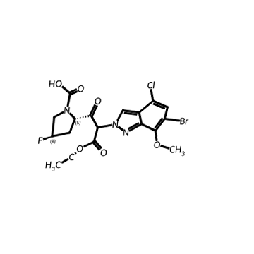 CCOC(=O)C(C(=O)[C@@H]1C[C@@H](F)CN1C(=O)O)n1cc2c(Cl)cc(Br)c(OC)c2n1